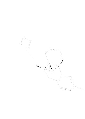 Cc1ccc2c(c1)[C@@]13CCCC[C@H]1[C@@H](C2)N(CC1CCO1)CC3